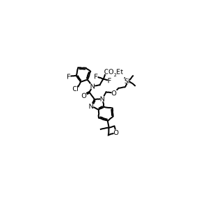 CCOC(=O)C(F)(F)CN(C(=O)c1nc2cc(C3(C)COC3)ccc2n1COCC[Si](C)(C)C)c1cccc(F)c1Cl